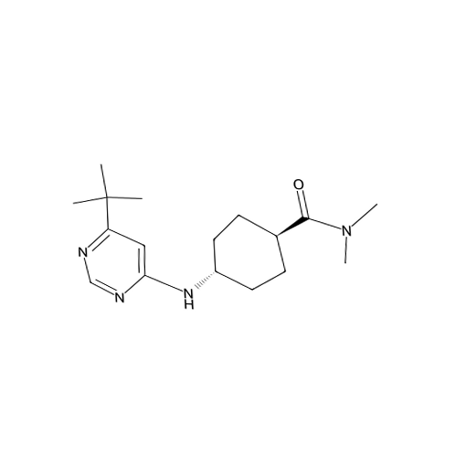 CN(C)C(=O)[C@H]1CC[C@H](Nc2cc(C(C)(C)C)ncn2)CC1